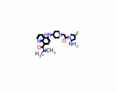 CN(C)C(=O)c1ccc(NC2CCN(CC(=O)N3C[C@@H](F)C[C@H]3N)CC2)c2cccnc12